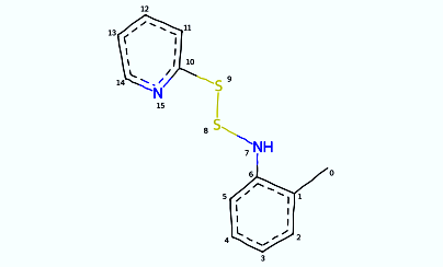 Cc1ccccc1NSSc1ccccn1